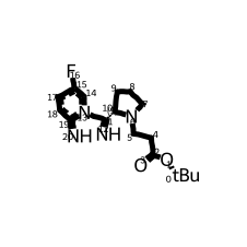 CC(C)(C)OC(=O)CCN1CCC[C@H]1C(=N)n1cc(F)ccc1=N